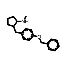 CNC1CCCC1Cc1ccc(OCc2ccccc2)cc1